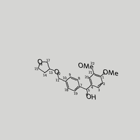 COc1ccc(C(O)c2ccc(COC3CCOC3)cc2)cc1OC